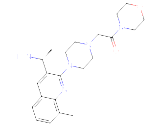 Cc1cccc2cc([C@H](C)N)c(N3CCN(CC(=O)N4CCOCC4)CC3)nc12